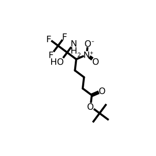 CC(C)(C)OC(=O)CCCC([N+](=O)[O-])C(N)(O)C(F)(F)F